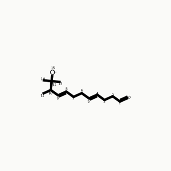 C=CCCC=CCCC=CC(C)C(C)(C)[O]